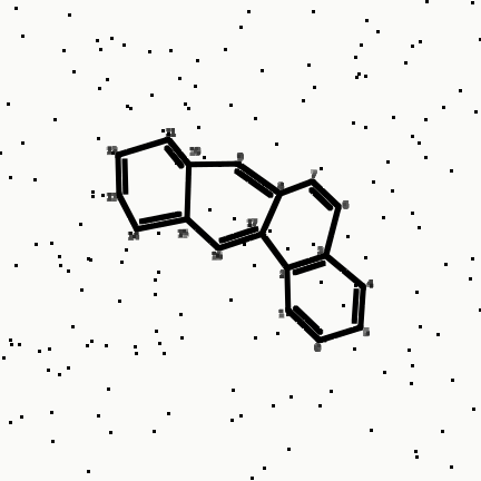 [c]1[c]c2c(cc1)ccc1cc3ccccc3cc12